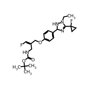 CCN1NC(c2ccc(OC/C(=C/F)CNC(=O)OC(C)(C)C)cc2)N=C1C1(F)CC1